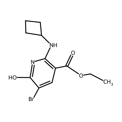 CCOC(=O)c1cc(Br)c(O)nc1NC1CCC1